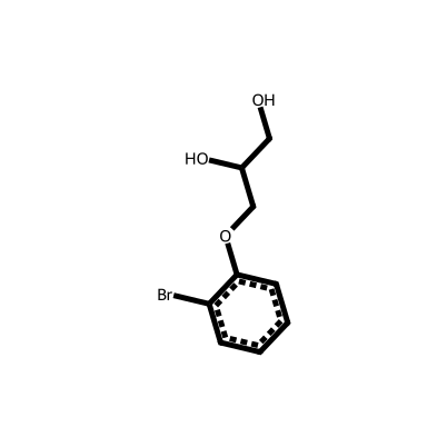 OCC(O)COc1ccccc1Br